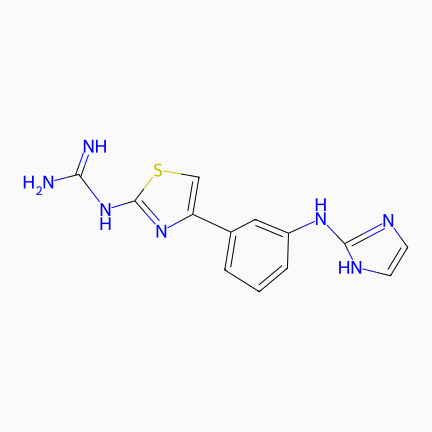 N=C(N)Nc1nc(-c2cccc(Nc3ncc[nH]3)c2)cs1